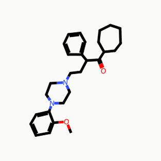 COc1ccccc1N1CCN(CCC(C(=O)C2CCCCCC2)c2ccccc2)CC1